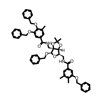 Cc1cc(C(=O)NC[C@H]2O[C@@H](OCc3ccccc3)[C@]3(CNC(=O)c4cc(C)c(OCc5ccccc5)c(OCc5ccccc5)c4)OC(C)(C)O[C@H]23)cc(OCc2ccccc2)c1C